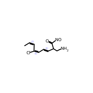 C\C=C/C(Cl)=C\C=C\C(CN)C(=O)N=O